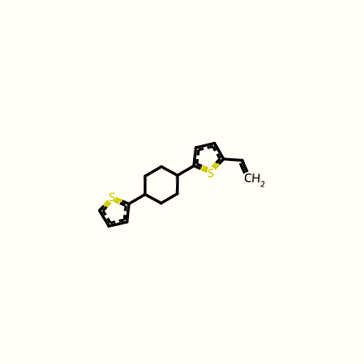 C=Cc1ccc(C2CCC(c3cccs3)CC2)s1